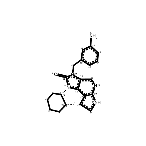 C[C@@H]1CCCC[C@@H]1n1c(=O)n(Cc2cccc(N)c2)c2cnc3[nH]ccc3c21